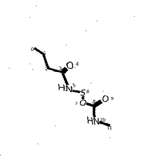 CCCC(=O)NSOC(=O)NC